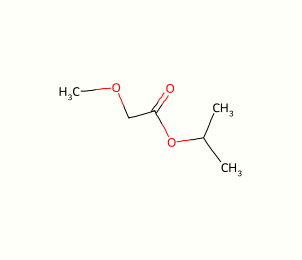 COCC(=O)OC(C)C